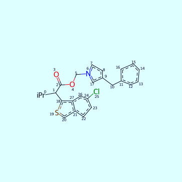 CC(C)C(C(=O)OCn1ccc(Cc2ccccc2)c1)c1scc2ccc(Cl)cc12